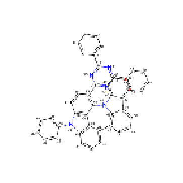 c1ccc(-c2nc(-c3ccccc3)nc(-c3ccc4c5c6c(cccc6n4-c4ccccc4)c4cccc6c7ccccc7n(c35)c46)n2)cc1